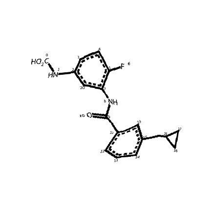 O=C(O)Nc1ccc(F)c(NC(=O)c2cccc(C3CC3)c2)c1